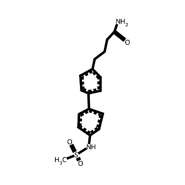 CS(=O)(=O)Nc1ccc(-c2ccc(CCCC(N)=O)cc2)cc1